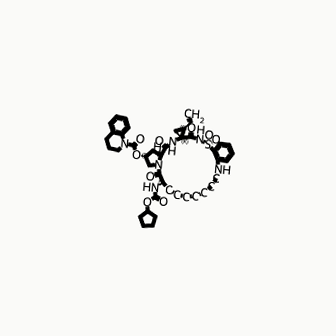 C=C[C@@H]1C[C@@]12NC(=O)[C@@H]1C[C@@H](OC(=O)N3CCCc4ccccc43)CN1C(=O)[C@@H](NC(=O)OC1CCCC1)CCCCCCCNc1ccccc1S(=O)(=O)NC2=O